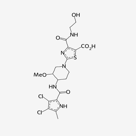 COC1CN(c2nc(C(=O)NCCO)c(C(=O)O)s2)CCC1NC(=O)c1[nH]c(C)c(Cl)c1Cl